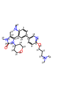 C=Nc1ccc(-c2ccc(OCCCN(C)C)nc2)cc1-c1c(C)n(C)c(=O)n1C1CCOCC1